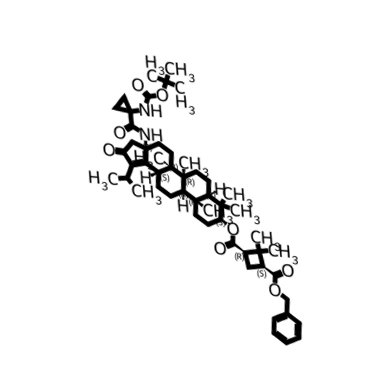 CC(C)C1=C2[C@H]3CC[C@@H]4[C@@]5(C)CC[C@H](OC(=O)[C@@H]6C[C@H](C(=O)OCc7ccccc7)C6(C)C)C(C)(C)[C@@H]5CC[C@@]4(C)[C@]3(C)CC[C@@]2(NC(=O)C2(NC(=O)OC(C)(C)C)CC2)CC1=O